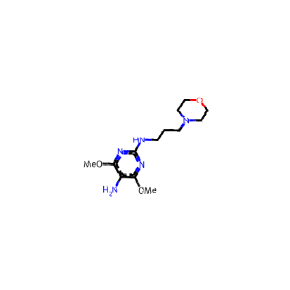 COc1nc(NCCCN2CCOCC2)nc(OC)c1N